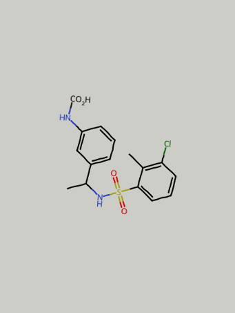 Cc1c(Cl)cccc1S(=O)(=O)NC(C)c1cccc(NC(=O)O)c1